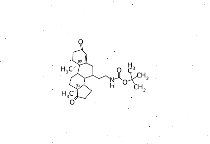 CC(C)(C)OC(=O)NCCC1CC2=CC(=O)CC[C@]2(C)C2CC[C@]3(C)C(=O)CCC3C12